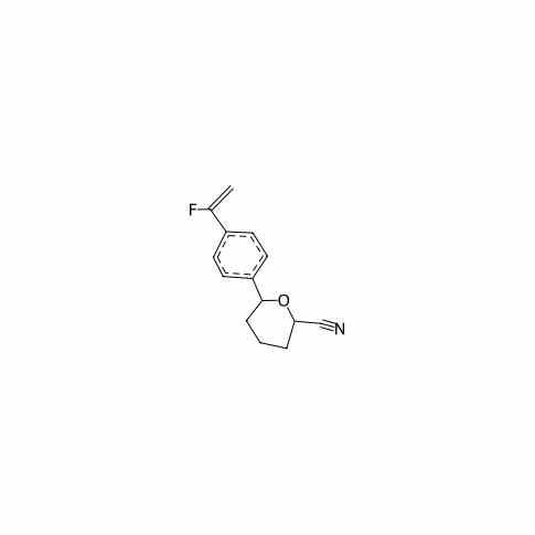 C=C(F)c1ccc(C2CCCC(C#N)O2)cc1